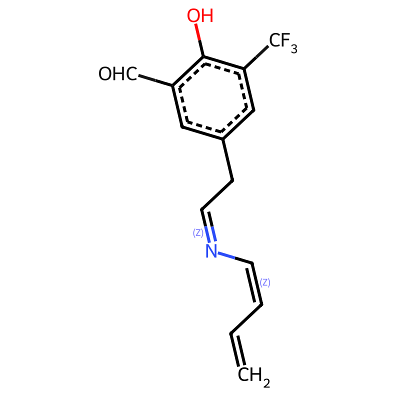 C=C/C=C\N=C/Cc1cc(C=O)c(O)c(C(F)(F)F)c1